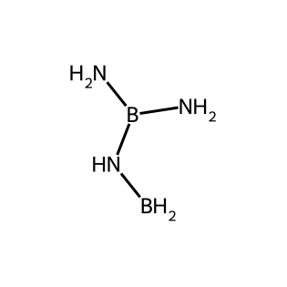 BNB(N)N